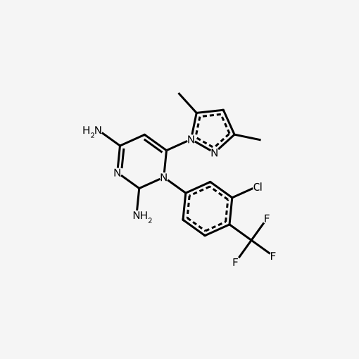 Cc1cc(C)n(C2=CC(N)=NC(N)N2c2ccc(C(F)(F)F)c(Cl)c2)n1